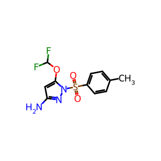 Cc1ccc(S(=O)(=O)n2nc(N)cc2OC(F)F)cc1